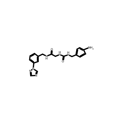 Nc1ccc(CNC(=O)NCC(=O)NCc2cccc(-n3cncn3)c2)cc1